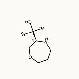 [2H]C([2H])(O)[C@@H]1COCCCN1